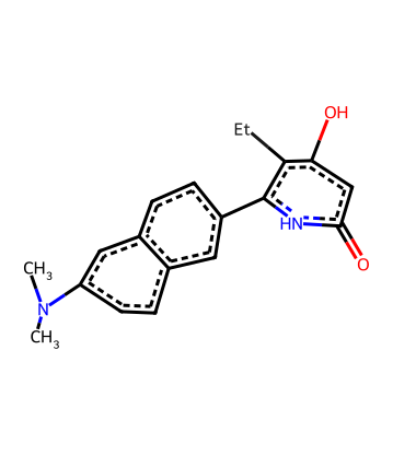 CCc1c(O)cc(=O)[nH]c1-c1ccc2cc(N(C)C)ccc2c1